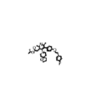 Cc1nc(C)c(-c2ccc(OCCc3ccc(F)cc3)cc2)c(N2CCC3(CCCO3)CC2)c1CC(=O)OC(C)C